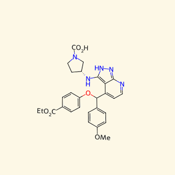 CCOC(=O)c1ccc(OC(c2ccc(OC)cc2)c2ccnc3n[nH]c(N[C@@H]4CCN(C(=O)O)C4)c23)cc1